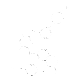 COc1ccc(CN2C(=O)COc3ccc(Nc4nc(Nc5cccc(N6CCN(C)CC6)c5)ncc4F)nc32)cc1